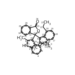 CCc1cccc2[nH]c(C)c(C3(c4c(C)[nH]c5cccc(CC)c45)OC(=O)c4ccccc43)c12